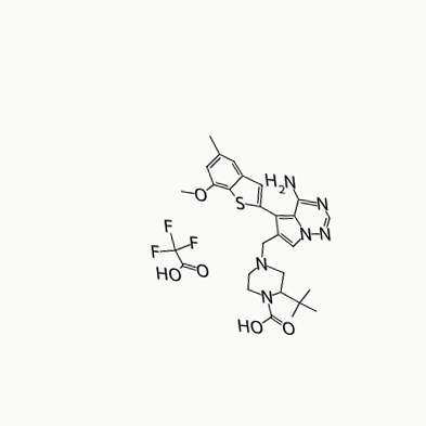 COc1cc(C)cc2cc(-c3c(CN4CCN(C(=O)O)C(C(C)(C)C)C4)cn4ncnc(N)c34)sc12.O=C(O)C(F)(F)F